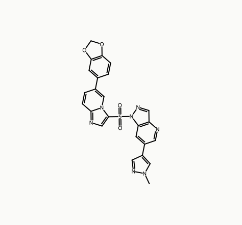 Cn1cc(-c2cnc3cnn(S(=O)(=O)c4cnc5ccc(-c6ccc7c(c6)OCO7)cn45)c3c2)cn1